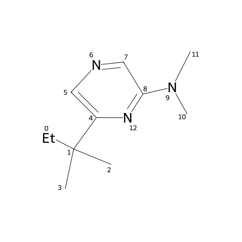 CCC(C)(C)c1cncc(N(C)C)n1